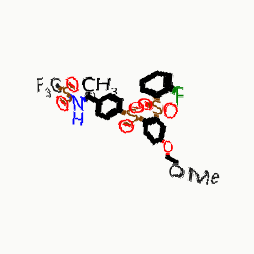 COCCOc1ccc(S(=O)(=O)c2ccc([C@H](C)NS(=O)(=O)C(F)(F)F)cc2)c(S(=O)(=O)c2ccccc2F)c1